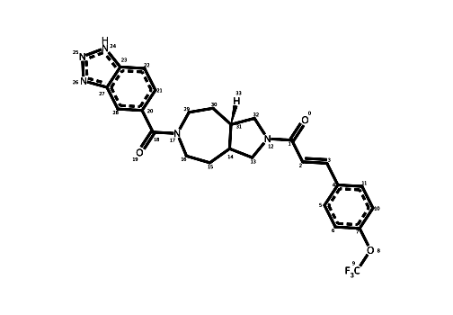 O=C(/C=C/c1ccc(OC(F)(F)F)cc1)N1CC2CCN(C(=O)c3ccc4[nH]nnc4c3)CC[C@@H]2C1